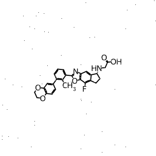 Cc1c(-c2ccc3c(c2)OCCO3)cccc1-c1nc2cc3c(c(F)c2o1)CC[C@H]3NCC(=O)O